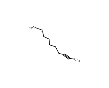 CC[CH]SCCCCCC#CC(F)(F)F